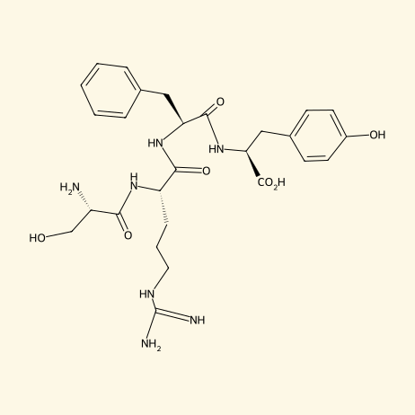 N=C(N)NCCC[C@H](NC(=O)[C@@H](N)CO)C(=O)N[C@@H](Cc1ccccc1)C(=O)N[C@@H](Cc1ccc(O)cc1)C(=O)O